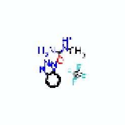 C/[NH+]=C(/N)On1nnc2ccccc21.F[B-](F)(F)F